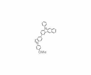 COc1ccc(-n2ccc3cc(-c4ccc5c(c4)c4cc6ccccc6cc4n5-c4ccccc4)ccc32)cc1